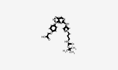 CC(C)(C)OC(=O)NCCCn1cc(Nc2ncc3nnn(-c4ccc(OCC(=O)O)cc4)c3n2)cn1